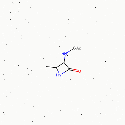 CC(=O)ONC1C(=O)NC1C